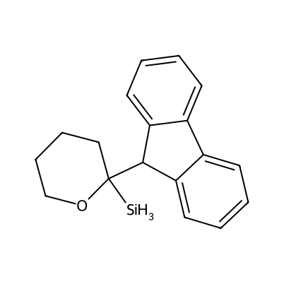 [SiH3]C1(C2c3ccccc3-c3ccccc32)CCCCO1